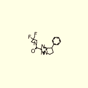 O=C(c1nc2n(n1)CCC2c1ccccc1)N1CC(F)(F)C1